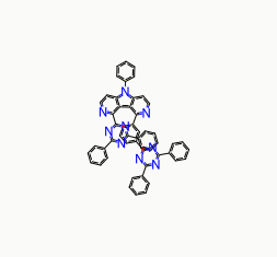 c1ccc(-c2nc(-c3ccccc3)nc(-c3cccc(-c4nccc5c4c4c(-c6nc(-c7ccccc7)nc(-c7ccccc7)n6)nccc4n5-c4ccccc4)c3)n2)cc1